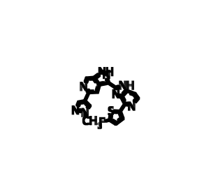 Cn1cc(-c2cc3c(-c4nc5c(-c6ccc(F)s6)nccc5[nH]4)n[nH]c3cn2)cn1